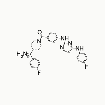 N[C@H](c1ccc(F)cc1)C1CCN(C(=O)c2ccc(Nc3nccc(Nc4ccc(F)cc4)n3)cc2)CC1